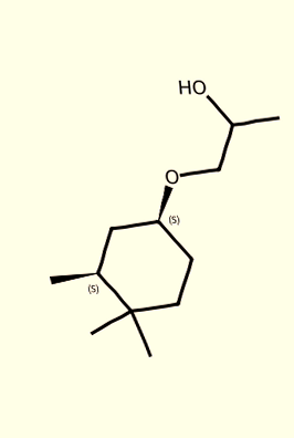 CC(O)CO[C@H]1CCC(C)(C)[C@@H](C)C1